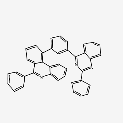 c1ccc(-c2nc(-c3cccc(-c4cccc5c(-c6ccccc6)nc6ccccc6c45)c3)c3ccccc3n2)cc1